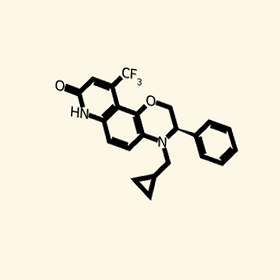 O=c1cc(C(F)(F)F)c2c3c(ccc2[nH]1)N(CC1CC1)[C@H](c1ccccc1)CO3